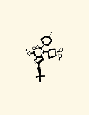 COC(=O)c1sc(C#CC(C)(C)C)cc1N(C(=O)[C@H]1CC[C@H](C)CC1)C1CCP(=O)(OC)CC1